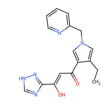 CCc1cn(Cc2ccccn2)cc1C(=O)C=C(O)c1nc[nH]n1